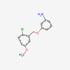 COc1ccc(Br)c(COc2cccc(N)c2)c1